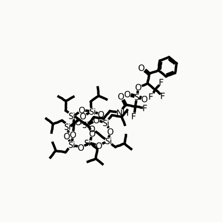 CC(C)C[Si]12O[Si]3(CCCNC(=O)C(F)(F)S(=O)(=O)OC(C(=O)c4ccccc4)C(F)(F)F)O[Si]4(CC(C)C)O[Si](CC(C)C)(O1)O[Si]1(CC(C)C)O[Si](CC(C)C)(O2)O[Si](CC(C)C)(O3)O[Si](CC(C)C)(O4)O1